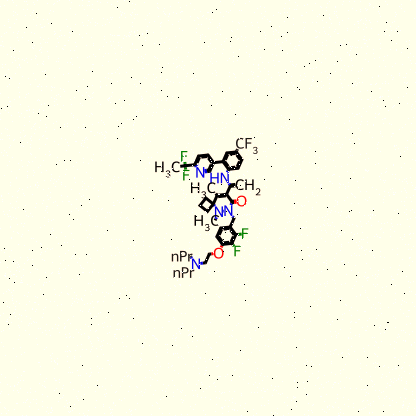 C=C(Nc1ccc(C(F)(F)F)cc1-c1ccc(C(C)(F)F)nc1)C1=C(C)C2(CCC2)N(C)N(Cc2ccc(OCCN(CCC)CCC)c(F)c2F)C1=O